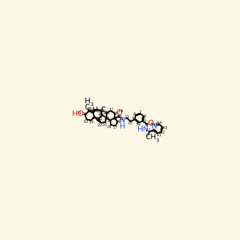 CC(NC(=O)c1cccc(CCNC(=O)C23CCCC2C2(CC4C5C2CC2C6C2(C)C(O)CCC456)[C@@H](C)CC3)c1)c1ccccn1